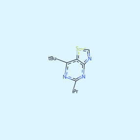 CC(C)c1nc(C(C)(C)C)c2scnc2n1